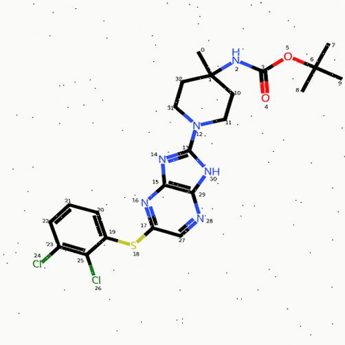 CC1(NC(=O)OC(C)(C)C)CCN(c2nc3nc(Sc4cccc(Cl)c4Cl)cnc3[nH]2)CC1